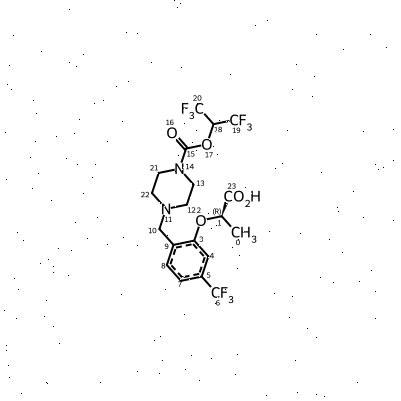 C[C@@H](Oc1cc(C(F)(F)F)ccc1CN1CCN(C(=O)OC(C(F)(F)F)C(F)(F)F)CC1)C(=O)O